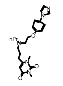 CCCN(CCCc1cc(=O)n(C)c(=O)n1C)CCOc1ccc(-n2ccnc2)cc1